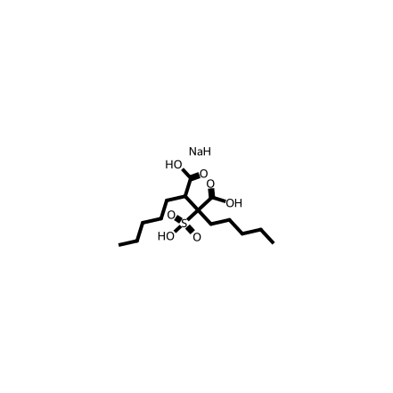 CCCCCC(C(=O)O)C(CCCCC)(C(=O)O)S(=O)(=O)O.[NaH]